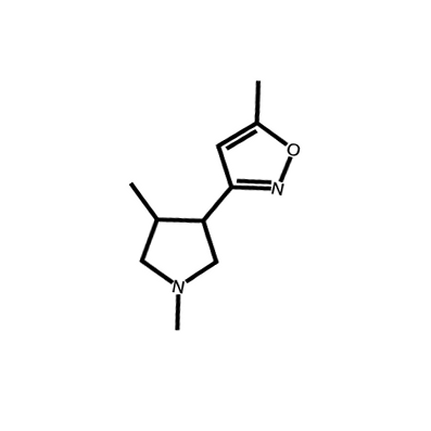 Cc1cc(C2CN(C)CC2C)no1